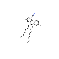 CCCCCCCCC1(CCCCCCCC)c2cc(C)ccc2-c2c(C#N)cc(C)cc21